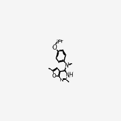 CC1=Nc2oc(C)cc2C(N(C)c2ccc(OC(C)C)cc2)N1